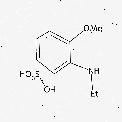 CCNc1ccccc1OC.O=S(=O)(O)O